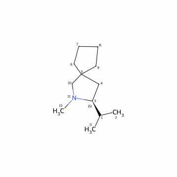 CC(C)[C@@H]1CC2(CCCC2)CN1C